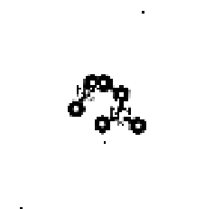 c1ccc(-c2nc(-c3ccccc3)nc(-c3cccc(-c4ccc5ccc6nc(-c7ccccc7)sc6c5c4)c3)n2)cc1